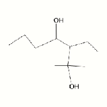 CCCC(O)C(CC)C(C)(C)O